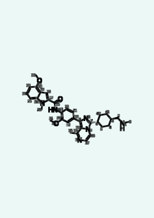 CNC[C@H]1CC[C@H](c2nc(-c3ccc(NC(=O)c4cc5c(OC)cccc5n4C)c(OC)c3)c3c(C)nccn32)CC1